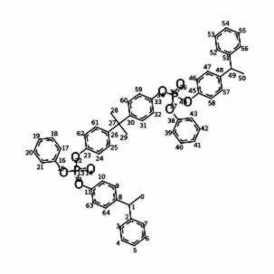 CC(c1ccccc1)c1ccc(OP(=O)(Oc2ccccc2)Oc2ccc(C(C)(C)c3ccc(OP(=O)(Oc4ccccc4)Oc4ccc(C(C)c5ccccc5)cc4)cc3)cc2)cc1